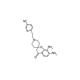 N#Cc1ccc(CCN2CCC3(CC2)CC(=O)c2ccc(N)c(N)c2O3)cc1